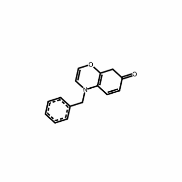 O=C1C=CC2=C(C1)OC=CN2Cc1ccccc1